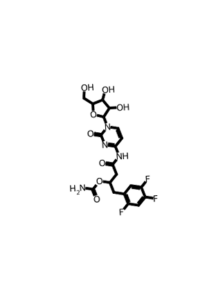 NC(=O)OC(CC(=O)Nc1ccn(C2OC(CO)C(O)C2O)c(=O)n1)Cc1cc(F)c(F)cc1F